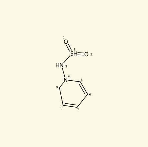 O=[SH](=O)NN1C=CC=CC1